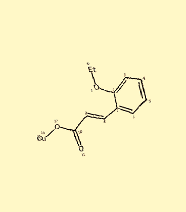 CCOc1ccccc1/C=C/C(=O)OC(C)CC